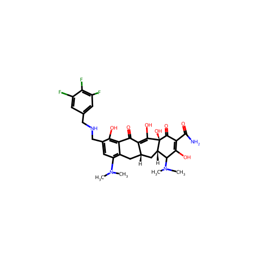 CN(C)c1cc(CNCc2cc(F)c(F)c(F)c2)c(O)c2c1C[C@H]1C[C@H]3C(N(C)C)C(O)=C(C(N)=O)C(=O)[C@@]3(O)C(O)=C1C2=O